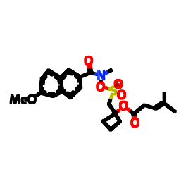 COc1ccc2cc(C(=O)N(C)OS(=O)(=O)CC3(OC(=O)CC=C(C)C)CCC3)ccc2c1